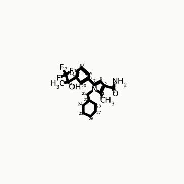 Cc1c(C(N)=O)cc(-c2cccc(C(C)(O)C(F)(F)F)c2)n1CC1CCCCC1